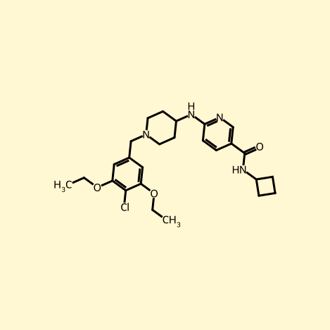 CCOc1cc(CN2CCC(Nc3ccc(C(=O)NC4CCC4)cn3)CC2)cc(OCC)c1Cl